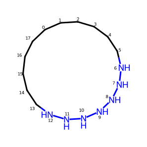 C1CCCCCNNNNNNNCCCCC1